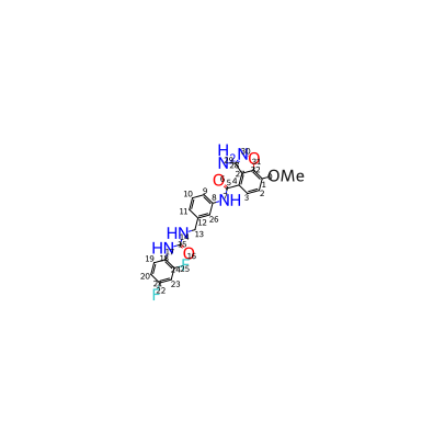 COc1ccc(C(=O)Nc2cccc(CNC(=O)Nc3ccc(F)cc3F)c2)c2c(N)noc12